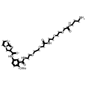 COc1ccc(NC(=O)C2CN3C=CSC3=N2)cc1C(=O)NCCOCCOCC(=O)NCCOCCOCC(=O)NCCCN